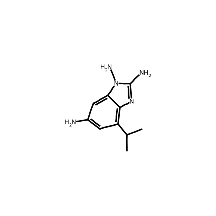 CC(C)c1cc(N)cc2c1nc(N)n2N